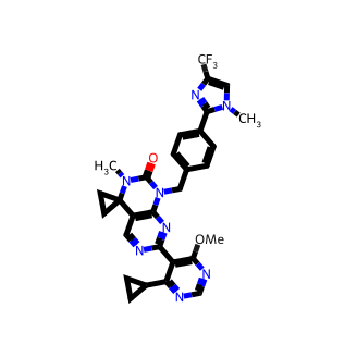 COc1ncnc(C2CC2)c1-c1ncc2c(n1)N(Cc1ccc(-c3nc(C(F)(F)F)cn3C)cc1)C(=O)N(C)C21CC1